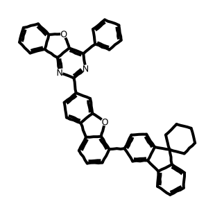 c1ccc(-c2nc(-c3ccc4c(c3)oc3c(-c5ccc6c(c5)-c5ccccc5C65CCCCC5)cccc34)nc3c2oc2ccccc23)cc1